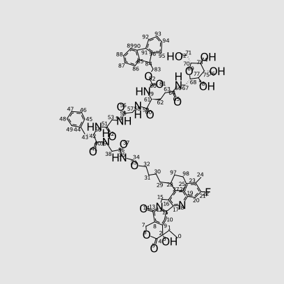 CC[C@@]1(O)C(=O)OCc2c1cc1n(c2=O)Cc2c-1nc1cc(F)c(C)c3c1c2C(CCCCOCNC(=O)CNC(=O)[C@H](Cc1ccccc1)NC(=O)CNC(=O)CNC(=O)[C@H](CCC(=O)NC[C@@H]1O[C@H](CO)[C@@H](O)[C@H](O)[C@H]1O)NC(=O)OCC1c2ccccc2-c2ccccc21)CC3